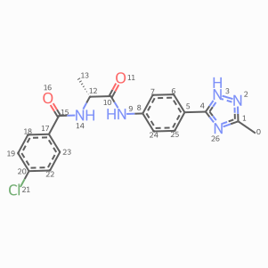 Cc1n[nH]c(-c2ccc(NC(=O)[C@@H](C)NC(=O)c3ccc(Cl)cc3)cc2)n1